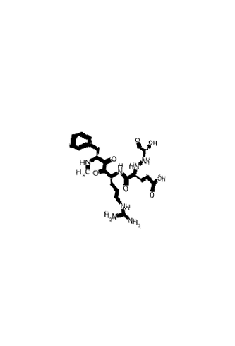 CN[C@@H](Cc1ccccc1)C(=O)C(=O)[C@H](CCCNC(N)N)NC(=O)[C@H](CCC(=O)O)NN[C@H](C=O)CO